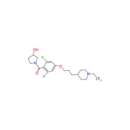 O=C(c1c(F)cc(OCCCC2CCN(CC(F)(F)F)CC2)cc1F)N1CCC(O)C1